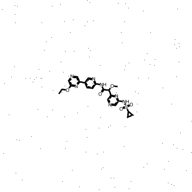 CCOc1cncc(-c2ccc(NC(=O)C(OC)c3cncc(NS(=O)(=O)C4CC4)n3)nc2)n1